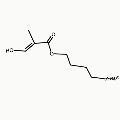 CCCCCCCCCCCOC(=O)C(C)=CO